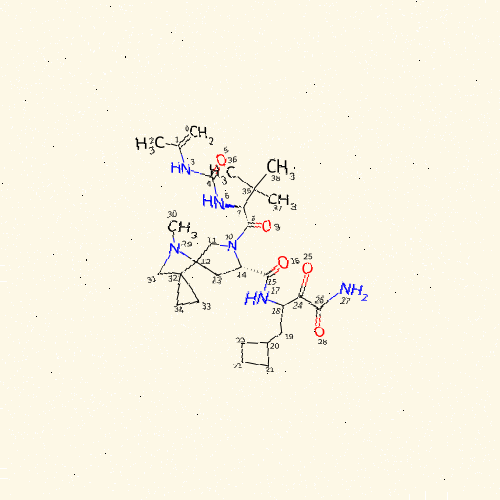 C=C(C)NC(=O)N[C@H](C(=O)N1CC2(C[C@H]1C(=O)NC(CC1CCC1)C(=O)C(N)=O)N(C)CC21CC1)C(C)(C)C